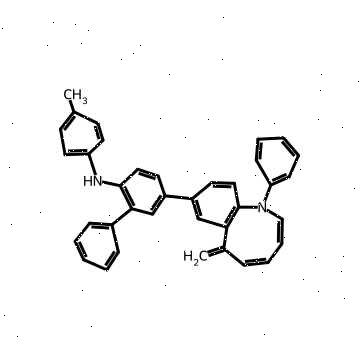 C=C1/C=C\C=C/N(c2ccccc2)c2ccc(-c3ccc(Nc4ccc(C)cc4)c(-c4ccccc4)c3)cc21